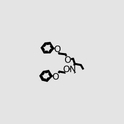 CCC(COCCOc1ccccc1)N(C)OCCOc1ccccc1